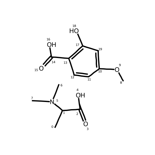 CC(C(=O)O)N(C)C.COc1ccc(C(=O)O)c(O)c1